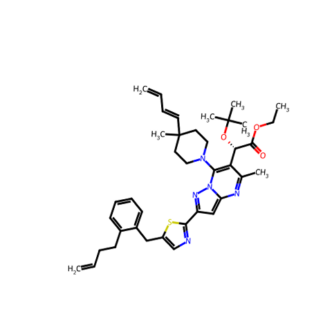 C=C/C=C/C1(C)CCN(c2c([C@H](OC(C)(C)C)C(=O)OCC)c(C)nc3cc(-c4ncc(Cc5ccccc5CCC=C)s4)nn23)CC1